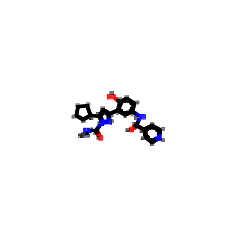 CCCNC(=O)n1nc(-c2cc(NC(=O)c3ccncc3)ccc2O)cc1C1CCCC1